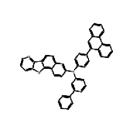 c1ccc(-c2cccc(N(c3ccc(-c4cc5ccccc5c5ccccc45)cc3)c3ccc4c(ccc5c6ncccc6oc45)c3)c2)cc1